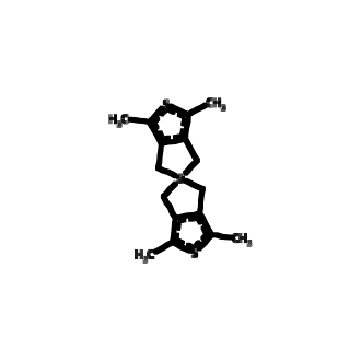 Cc1sc(C)c2c1C[Si]1(C2)Cc2c(C)sc(C)c2C1